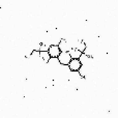 CCC(C)(C)c1cc(C)cc(Cc2cc(C)cc(C(C)(C)CC)c2I)c1O